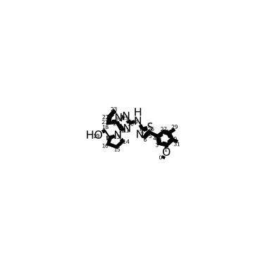 COc1cc(-c2cnc(Nc3nc(N4CCC[C@H]4CO)c4cccn4n3)s2)cc(C)c1C